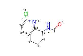 O=CNC1CCCc2ccc(Cl)nc21